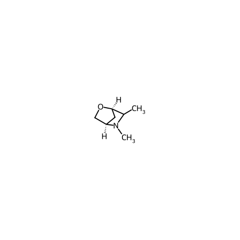 CC1[C@H]2C[C@H](CO2)N1C